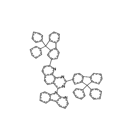 c1ccc(C2(c3ccccc3)c3ccccc3-c3ccc(-c4ccc5ccc6c(-n7c8ccccc8c8cccnc87)nc(-c7ccc8c(c7)C(c7ccccc7)(c7ccccc7)c7ccccc7-8)nc6c5n4)cc32)cc1